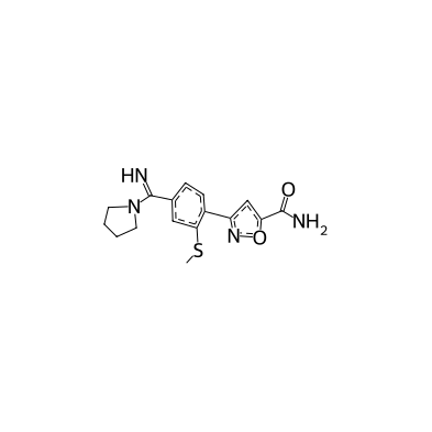 CSc1cc(C(=N)N2CCCC2)ccc1-c1cc(C(N)=O)on1